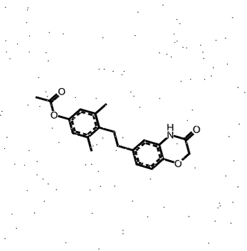 CC(=O)Oc1cc(C)c(CCc2ccc3c(c2)NC(=O)CO3)c(C)c1